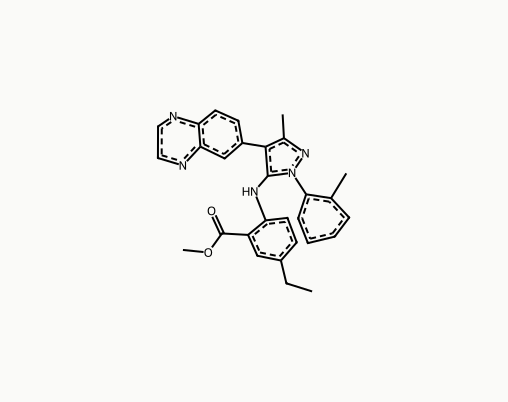 CCc1ccc(Nc2c(-c3ccc4nccnc4c3)c(C)nn2-c2ccccc2C)c(C(=O)OC)c1